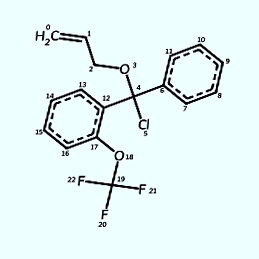 C=CCOC(Cl)(c1ccccc1)c1ccccc1OC(F)(F)F